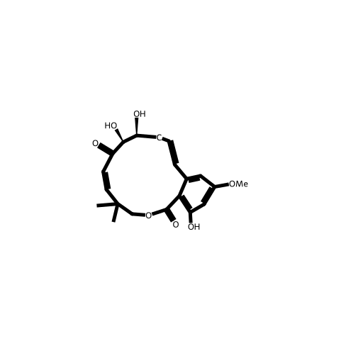 COc1cc(O)c2c(c1)/C=C/C[C@H](O)[C@H](O)C(=O)/C=C\C(C)(C)COC2=O